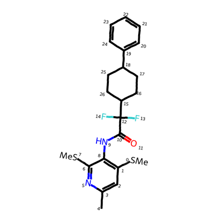 CSc1cc(C)nc(SC)c1NC(=O)C(F)(F)C1CCC(c2ccccc2)CC1